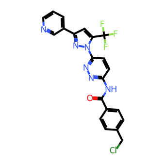 O=C(Nc1ccc(-n2nc(-c3cccnc3)cc2C(F)(F)F)nn1)c1ccc(CCl)cc1